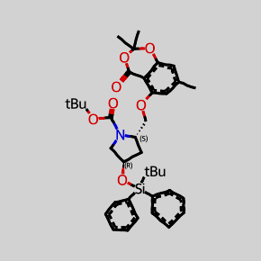 Cc1cc(OC[C@@H]2C[C@@H](O[Si](c3ccccc3)(c3ccccc3)C(C)(C)C)CN2C(=O)OC(C)(C)C)c2c(c1)OC(C)(C)OC2=O